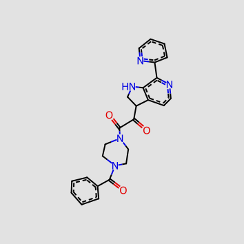 O=C(C(=O)N1CCN(C(=O)c2ccccc2)CC1)C1CNc2c1ccnc2-c1ccccn1